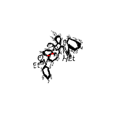 CCC(=O)N(c1ccccc1)C1CCN(Cc2c(C(=O)N[C@@H](CC)c3ccccc3)c3ccccc3c(=O)n2-c2ccccc2)CC1